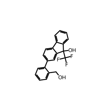 OCc1ccccc1-c1ccc2c(c1)C(O)(C(F)(F)F)c1ccccc1-2